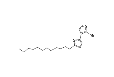 CCCCCCCCCCCCc1ccc(-c2ccsc2Br)s1